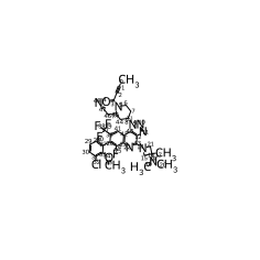 CC#CC(=O)N1CC[C@H](n2nnc3c(N4CC(C)(N(C)C)C4)nc4c(F)c(-c5cccc(Cl)c5OC)c(C(F)(F)F)cc4c32)C[C@H]1CC#N